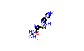 CC(=O)N1CCN(c2ccnc(Nc3ncc(-c4cncc(C(=O)NCCN)c4)s3)c2)CC1